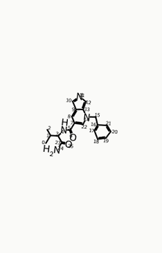 CC(C)C(NC(=O)c1cc2cncc-2n(Cc2ccccc2)c1)C(N)=O